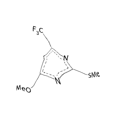 COc1cc(C(F)(F)F)nc(SC)n1